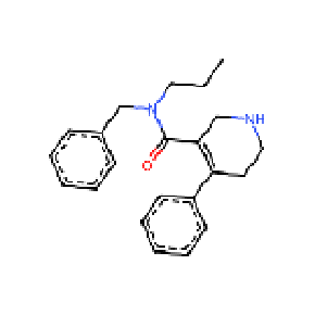 CCCN(Cc1ccccc1)C(=O)C1=C(c2ccccc2)CCNC1